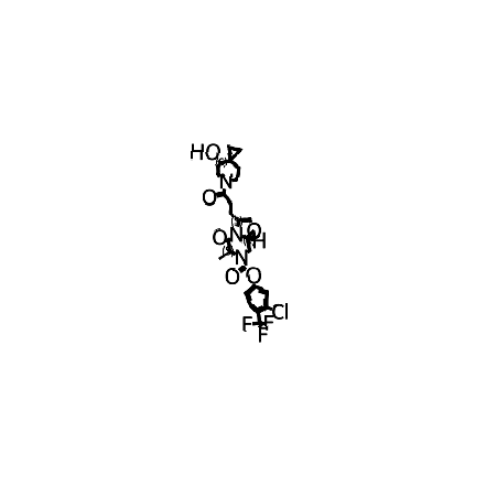 C[C@H]1C(=O)N2[C@@H](CCC(=O)N3CCC4(CC4)[C@H](O)C3)CO[C@@H]2CN1C(=O)Oc1ccc(C(F)(F)F)c(Cl)c1